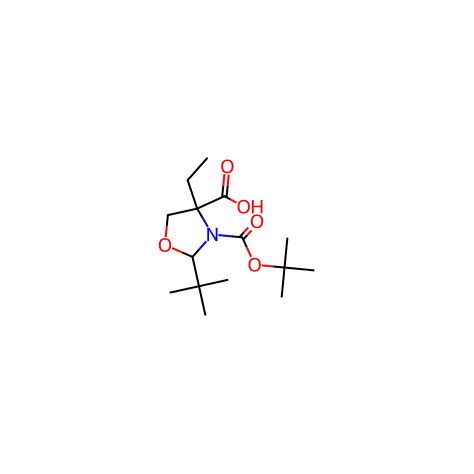 CCC1(C(=O)O)COC(C(C)(C)C)N1C(=O)OC(C)(C)C